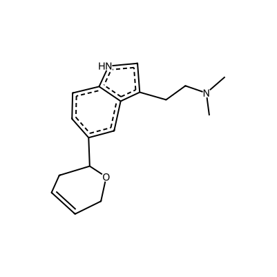 CN(C)CCc1c[nH]c2ccc(C3CC=CCO3)cc12